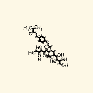 CC(C)C(=O)SCc1ccc(OCCN(C[C@@H](O)[C@@H](O)[C@H](O)[C@H](O)CO)C[C@@H](O)[C@@H](O)[C@H](O)[C@H](O)CO)cc1